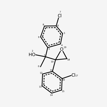 CC(O)(c1ccc(Cl)cc1)C1(c2ccccc2Cl)CO1